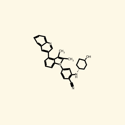 Cc1c(C)n(-c2ccc(C#N)c(N[C@H]3CC[C@H](O)CC3)c2)c2cccc(-c3cnc4ccccc4c3)c12